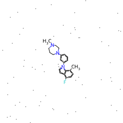 Cc1ccc(F)c2ccn(-c3cccc(N4CCCN(C)CC4)c3)c12